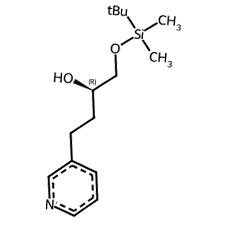 CC(C)(C)[Si](C)(C)OC[C@H](O)CCc1cccnc1